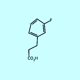 O=C(O)CCc1c[c]cc(F)c1